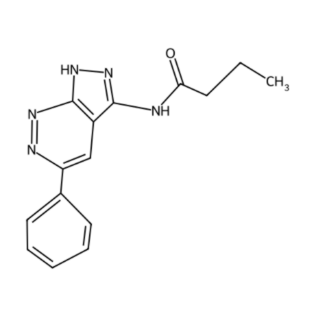 CCCC(=O)Nc1n[nH]c2nnc(-c3ccccc3)cc12